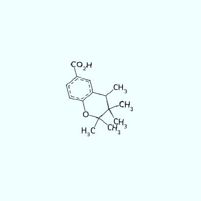 CC1c2cc(C(=O)O)ccc2OC(C)(C)C1(C)C